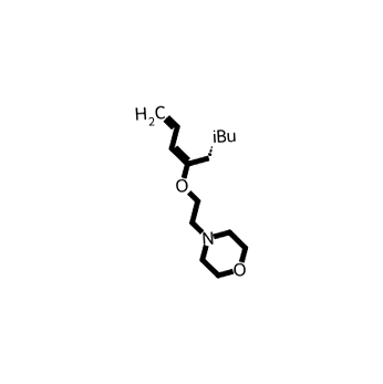 C=C/C=C(\C[C@@H](C)CC)OCCN1CCOCC1